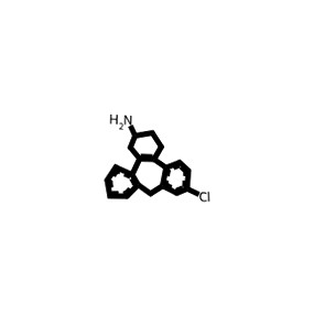 NC1CCC2=C(C1)c1ccccc1Cc1cc(Cl)ccc12